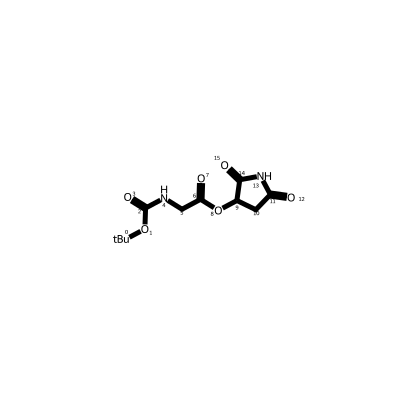 CC(C)(C)OC(=O)NCC(=O)OC1CC(=O)NC1=O